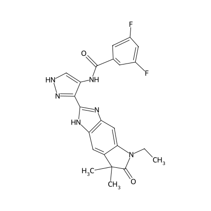 CCN1C(=O)C(C)(C)c2cc3[nH]c(-c4n[nH]cc4NC(=O)c4cc(F)cc(F)c4)nc3cc21